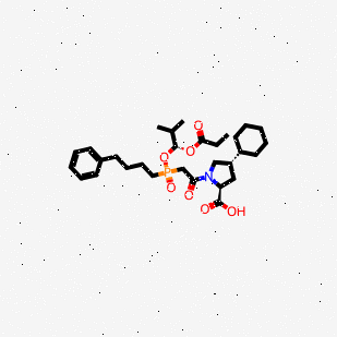 CCC(=O)O[C@H](OP(=O)(CCCCc1ccccc1)CC(=O)N1C[C@H](C2CCCCC2)C[C@H]1C(=O)O)C(C)C